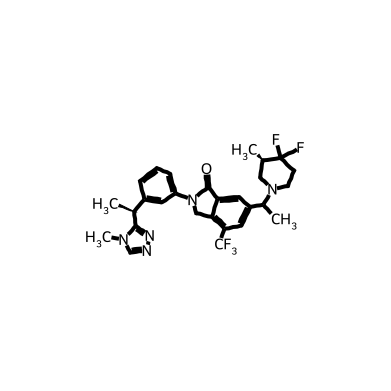 CC(c1cc2c(c(C(F)(F)F)c1)CN(c1cccc([C@H](C)c3nncn3C)c1)C2=O)N1CCC(F)(F)[C@H](C)C1